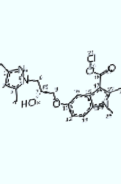 Cc1cc(C)n(C[C@@H](O)COc2ccc3c(c2)c(C(=O)OCl)c(C)n3C)n1